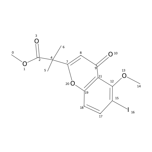 COC(=O)C(C)(C)c1cc(=O)c2c(OC)c(I)ccc2o1